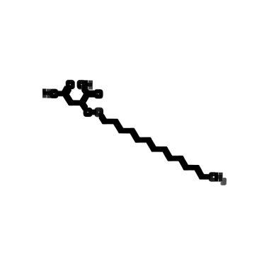 CCCCCCCCCCCCCCOOC(CC(=O)O)C(=O)O